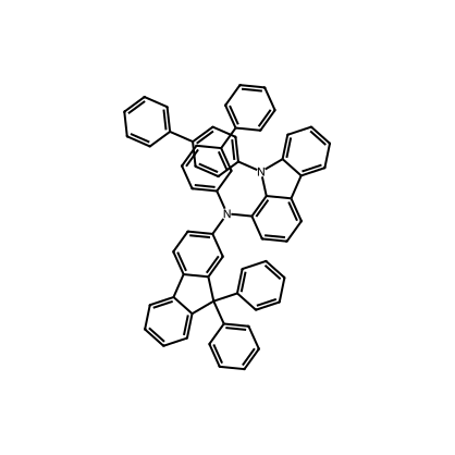 c1ccc(-c2ccc(-n3c4ccccc4c4cccc(N(c5cccc(-c6ccccc6)c5)c5ccc6c(c5)C(c5ccccc5)(c5ccccc5)c5ccccc5-6)c43)cc2)cc1